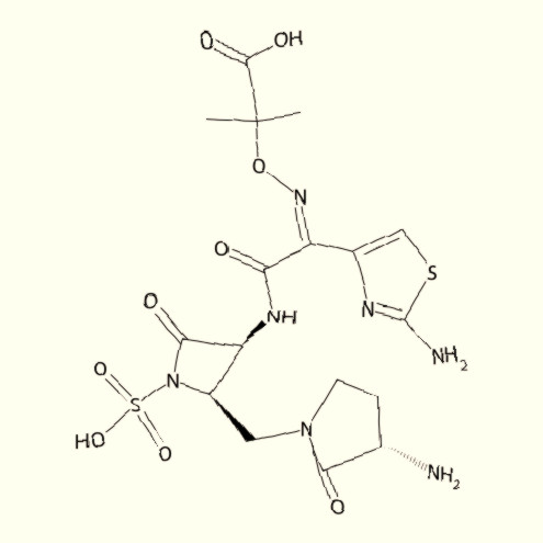 CC(C)(O/N=C(\C(=O)N[C@@H]1C(=O)N(S(=O)(=O)O)[C@@H]1CN1CC[C@H](N)C1=O)c1csc(N)n1)C(=O)O